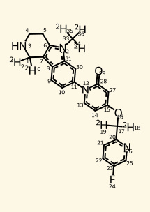 [2H]C1([2H])NCCc2c1c1ccc(-n3ccc(OC([2H])([2H])c4ccc(F)cn4)cc3=O)cc1n2C([2H])([2H])[2H]